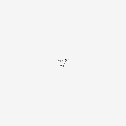 [La].[La].[Mo][Mo]